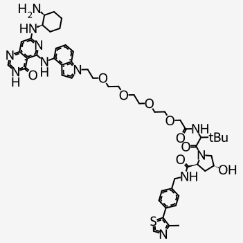 Cc1ncsc1-c1ccc(CNC(=O)[C@@H]2C[C@@H](O)CN2C(=O)C(NC(=O)COCCOCCOCCOCCn2ccc3c(Nc4nc(N[C@@H]5CCCC[C@@H]5N)cc5nc[nH]c(=O)c45)cccc32)C(C)(C)C)cc1